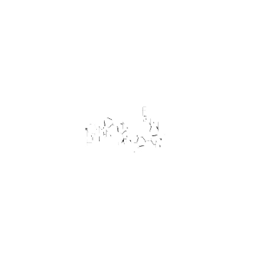 COc1cc(-c2cn(C)c(=O)c3cnc(N4CC(F)(F)C4)cc23)cc(OC)c1CN1Cc2ncc(-c3cccc4c3n(C)c(=O)n4C3CCC(=O)NC3=O)cc2C1=O